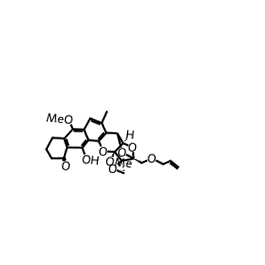 C=CCOC[C@@]12OC3c4c(C)cc5c(OC)c6c(c(O)c5c4O[C@](OC)([C@@H]3O1)[C@@]21CO1)C(=O)CCC6